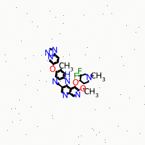 COc1ncc2ncc(C#N)c(Nc3ccc(Oc4ccc5ncnn5c4)c(C)c3)c2c1O[C@@H]1CCN(C)CC1(F)F